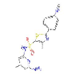 [C-]#[N+]c1ccc(-c2nc(C)c(S(=O)(=O)Nc3cc(C)cc(N)n3)s2)cc1